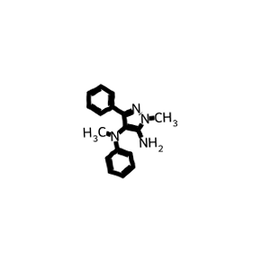 CN(c1ccccc1)c1c(-c2ccccc2)nn(C)c1N